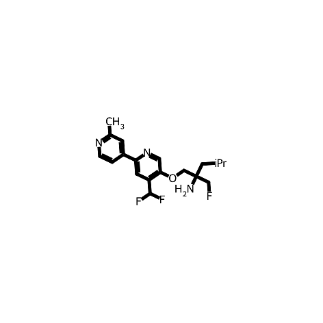 Cc1cc(-c2cc(C(F)F)c(OCC(N)(CF)CC(C)C)cn2)ccn1